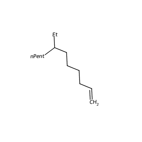 C=CCCCCC(CC)CCCCC